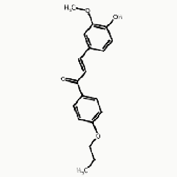 CCCOc1ccc(C(=O)/C=C/c2ccc(O)c(OC)c2)cc1